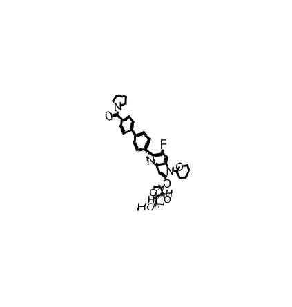 O=C(c1ccc(-c2ccc(-c3nc4cc(O[C@@H]5CO[C@H]6[C@@H]5OC[C@H]6O)n(C5CCCCO5)c4cc3F)cc2)cc1)N1CCCC1